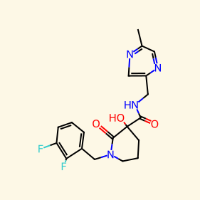 Cc1cnc(CNC(=O)C2(O)CCCN(Cc3cccc(F)c3F)C2=O)cn1